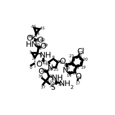 CC[C@@H]1C[C@]1(NC(=O)[C@@H]1C[C@@H](Oc2ncc(OC)c3ccc(Cl)cc23)CN1C(=O)[C@@H](NC(N)=S)C(C)(C)C)C(=O)NS(=O)(=O)C1CC1